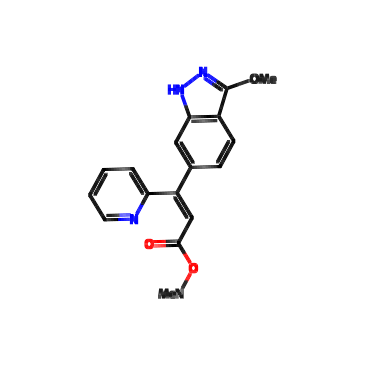 CNOC(=O)/C=C(/c1ccc2c(OC)n[nH]c2c1)c1ccccn1